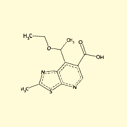 CCOC(C)c1c(C(=O)O)cnc2sc(C)nc12